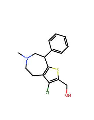 CN1CCc2c(sc(CO)c2Cl)C(c2ccccc2)C1